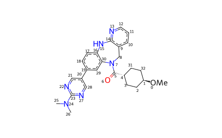 CO[C@H]1CC[C@H](C(=O)N2Cc3cccnc3Nc3ccc(-c4cnc(N(C)C)nc4)cc32)CC1